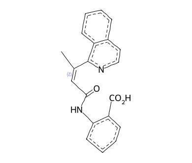 C/C(=C/C(=O)Nc1ccccc1C(=O)O)c1nccc2ccccc12